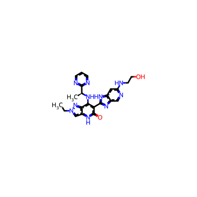 CCn1cc2[nH]c(=O)c(-c3nc4cnc(NCCO)cc4[nH]3)c(N[C@@H](C)c3ncccn3)c2n1